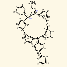 NC/N=C1\N=C(\c2ccccc2)c2cccc(c2)-c2cccc(c2)N(c2ccc(-c3ccccc3)cc2)c2cccc(c2)Cc2cccc1c2